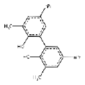 CCCc1cc(C)c(O)c(-c2cc(CCC)cc(C)c2O)c1